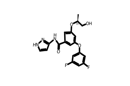 C[C@@H](CO)Oc1cc(Oc2cc(F)cc(F)c2)cc(C(=O)Nc2cc[nH]n2)c1